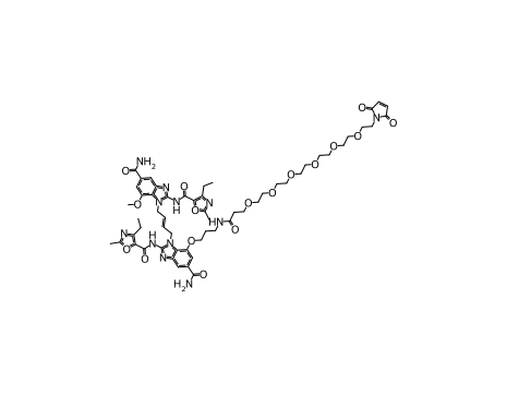 CCc1nc(C)oc1C(=O)Nc1nc2cc(C(N)=O)cc(OC)c2n1C/C=C/Cn1c(NC(=O)c2oc(C)nc2CC)nc2cc(C(N)=O)cc(OCCCNC(=O)CCOCCOCCOCCOCCOCCOCCN3C(=O)C=CC3=O)c21